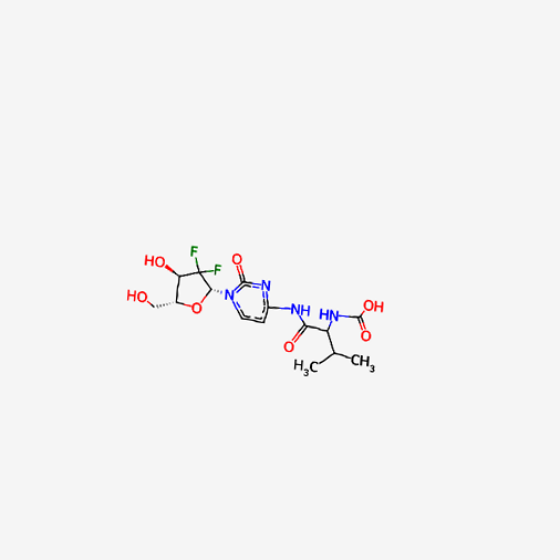 CC(C)C(NC(=O)O)C(=O)Nc1ccn([C@@H]2O[C@H](CO)[C@@H](O)C2(F)F)c(=O)n1